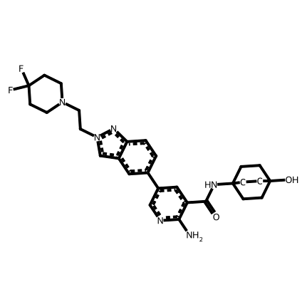 Nc1ncc(-c2ccc3nn(CCN4CCC(F)(F)CC4)cc3c2)cc1C(=O)NC12CCC(O)(CC1)CC2